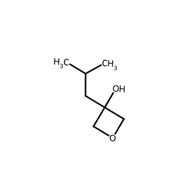 CC(C)CC1(O)COC1